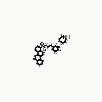 C1=CC=CNC=C1.O=S(=O)(CC=Cc1cccc(F)c1)C1=CCCc2c1ccc1c2CCc2ccccc2-1